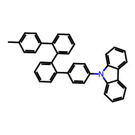 Cc1ccc(-c2ccccc2-c2ccccc2-c2ccc(-n3c4ccccc4c4ccccc43)cc2)cc1